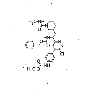 CNC(=O)N1CCC[C@@H](CC(NC(=O)OCc2ccccc2)c2cc(-c3ccc(NC(=O)OC)cc3)c(Cl)nn2)C1